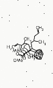 C=CCC(C)CC(C(C)(C)C(=O)OC)[C]12[CH]3[CH]4[CH]5[CH]1[Fe]45321678[CH]2[CH]1[CH]6[C]7(C(CC(C)CC=C)C(C)(C)C(=O)OC)[CH]28